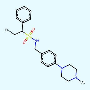 CC(=O)N1CCN(c2ccc(CNS(=O)(=O)C(CC(C)C)c3ccccc3)cc2)CC1